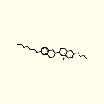 CCCCCCCc1ccc2c(c1)CCC(C1CCC3C[C@H](OCCC)CC[C@@H]3C1)C2